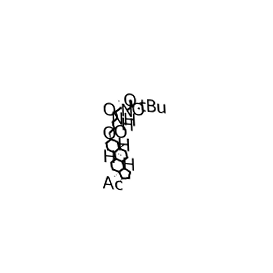 CC(=O)[C@H]1CCC2[C@@H]3CC[C@H]4C[C@H](OC(=O)CNC(=O)[C@H](C)NC(=O)OC(C)(C)C)CC[C@]4(C)[C@H]3CC[C@@]21C